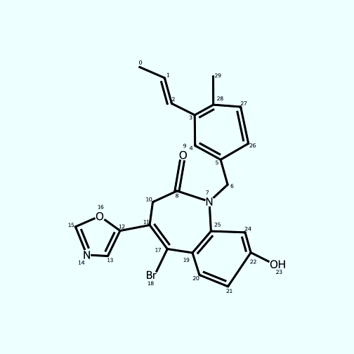 C/C=C/c1cc(CN2C(=O)CC(c3cnco3)=C(Br)c3ccc(O)cc32)ccc1C